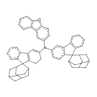 C1=C(N(c2ccc3c(c2)-c2ccccc2C32C3CC4CC(C3)CC2C4)c2ccc3oc4ccccc4c3c2)CCC2=C1c1ccccc1C21C2CC3CC(C2)CC1C3